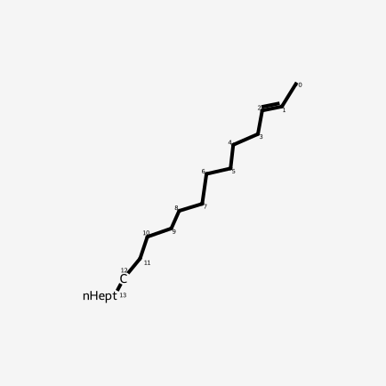 [CH2]C=CCCCCCCCCCCCCCCCCC